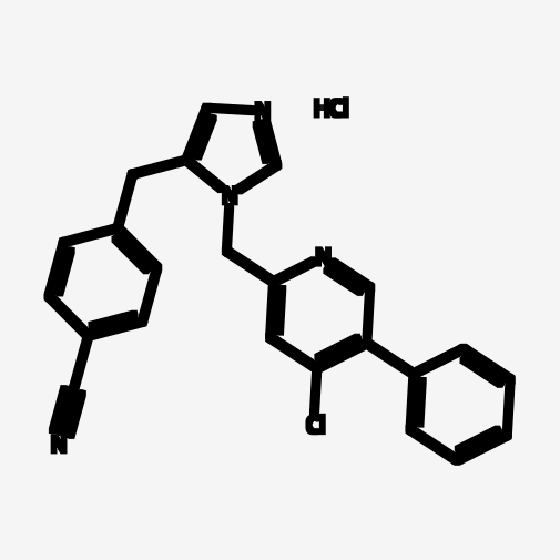 Cl.N#Cc1ccc(Cc2cncn2Cc2cc(Cl)c(-c3ccccc3)cn2)cc1